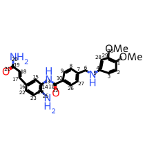 COc1ccc(NCc2ccc(C(=O)Nc3cc(C=CC(N)=O)ccc3N)cc2)cc1OC